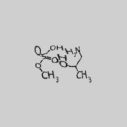 CC(O)CN.COS(=O)(=O)O